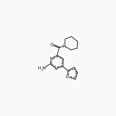 Nc1nc(C(=O)N2CCCCC2)cc(-c2ccco2)n1